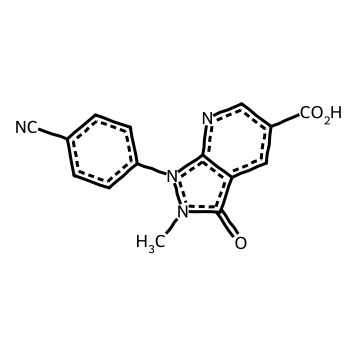 Cn1c(=O)c2cc(C(=O)O)cnc2n1-c1ccc(C#N)cc1